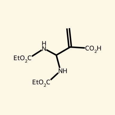 C=C(C(=O)O)C(NC(=O)OCC)NC(=O)OCC